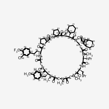 CCC[C@H]1C(=O)N[C@@H](CC(C)C)C(=O)N(C)CC(=O)N(C)CC(=O)N(C)[C@@H](Cc2ccc(C)cc2)C(=O)N(C)CC(=O)N[C@@H](CCc2ccc(C(F)(F)F)c(Cl)c2)C(=O)N2CCC[C@H]2C(=O)NC2(CCCC2)C(=O)N(C)[C@@H](C2CCCCC2)C(=O)N(C)[C@H](C(=O)N2C3CCC2COC3)CC(=O)N1C